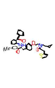 COC(=O)[C@H](Cc1ccc(OCCN(CC2CC2)C(=O)Cc2cccs2)cc1)Nc1ccccc1C(=O)c1ccccc1